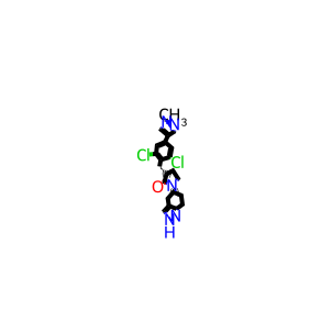 Cn1cc(-c2cc(Cl)c(C[C@@H]3CCN([C@H]4CCc5n[nH]cc5C4)C3=O)c(Cl)c2)cn1